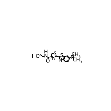 CN(C)c1ccc2nc(C3=N[C@@H](C(=O)NCCO)CS3)sc2c1